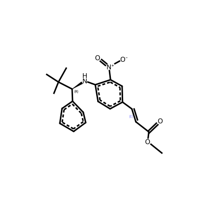 COC(=O)/C=C/c1ccc(N[C@@H](c2ccccc2)C(C)(C)C)c([N+](=O)[O-])c1